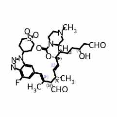 C/C(=C\c1cc(F)c2nnn(C3CCS(=O)(=O)CC3)c2c1)[C@@H](C=O)[C@@H](C)/C=C/[C@H](OC(=O)N1CCN(C)CC1)[C@@H](C)CC[C@@H](O)CC=O